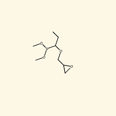 CCC(OCC1CO1)[Si](OC)OC